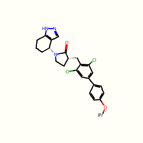 CC(C)Oc1ccc(-c2cc(Cl)c(C[C@@H]3CCN([C@@H]4CCCc5[nH]ncc54)C3=O)c(Cl)c2)cc1